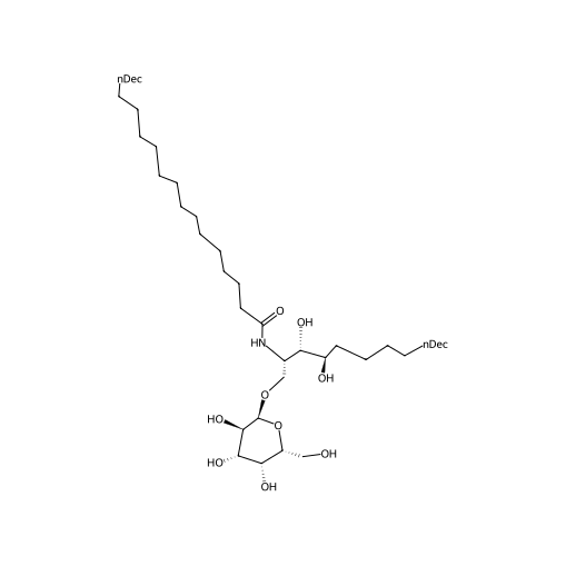 CCCCCCCCCCCCCCCCCCCCCCCC(=O)N[C@@H](CO[C@H]1O[C@H](CO)[C@H](O)[C@H](O)[C@H]1O)[C@H](O)[C@H](O)CCCCCCCCCCCCCC